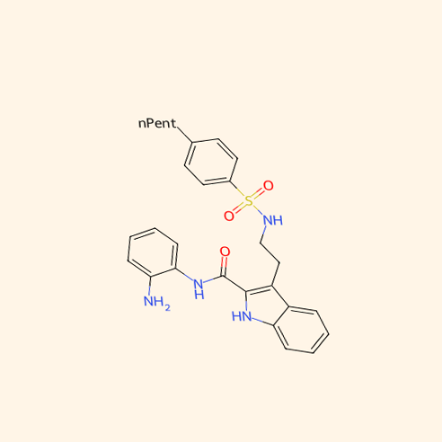 CCCCCc1ccc(S(=O)(=O)NCCc2c(C(=O)Nc3ccccc3N)[nH]c3ccccc23)cc1